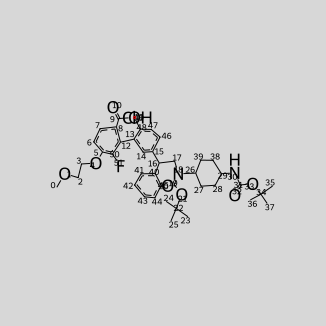 COCCOc1ccc(C(=O)O)c(-c2cc(C(CN(C(=O)OC(C)(C)C)C3CCC(NC(=O)OC(C)(C)C)CC3)c3ccccc3)ccc2Cl)c1F